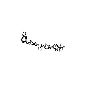 C[C@@H]1CN(c2cnc(C(F)(F)F)cn2)CCN1C(=O)OC1CC2(C1)CN(Cc1ccc(Cl)cc1)C2